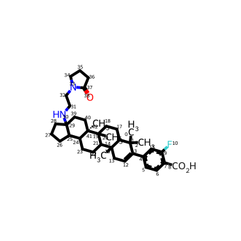 CC1(C)C(c2ccc(C(=O)O)c(F)c2)=CCC2(C)C1CCC1(C)C2CCC2C3CCCC3(NCCN3CCCC3=O)CC[C@]21C